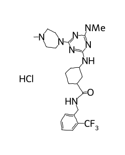 CNc1nc(NC2CCCC(C(=O)NCc3ccccc3C(F)(F)F)C2)nc(N2CCN(C)CC2)n1.Cl